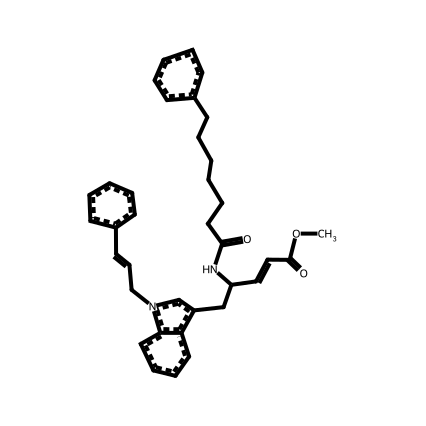 COC(=O)C=CC(Cc1cn(CC=Cc2ccccc2)c2ccccc12)NC(=O)CCCCCCc1ccccc1